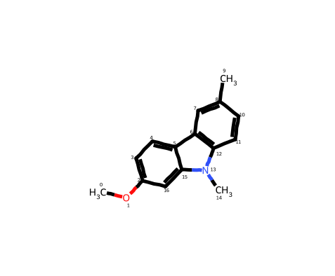 COc1ccc2c3cc(C)ccc3n(C)c2c1